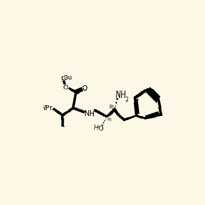 CC(C)C(C)C(NC[C@@H](O)[C@H](N)Cc1cc#ccc1)C(=O)OC(C)(C)C